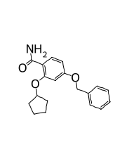 NC(=O)c1ccc(OCc2ccccc2)cc1OC1CCCC1